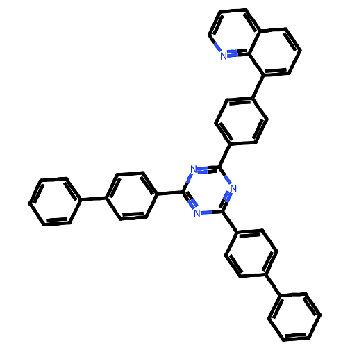 c1ccc(-c2ccc(-c3nc(-c4ccc(-c5ccccc5)cc4)nc(-c4ccc(-c5cccc6cccnc56)cc4)n3)cc2)cc1